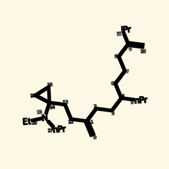 C=C(CCC(CCC)CCCC(=C)C(C)C)CCC1(N(CC)CCC)CC1